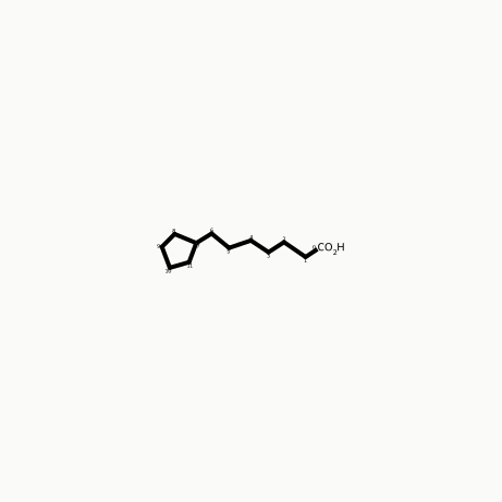 O=C(O)CCCCCCC1CCCC1